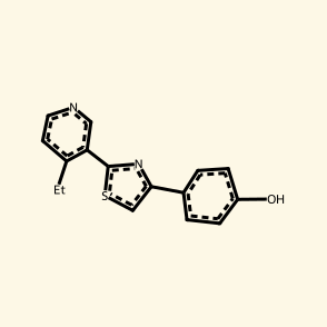 CCc1ccncc1-c1nc(-c2ccc(O)cc2)cs1